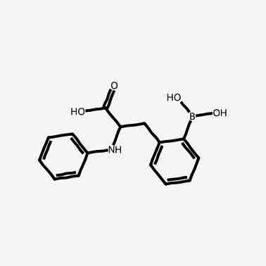 O=C(O)C(Cc1ccccc1B(O)O)Nc1ccccc1